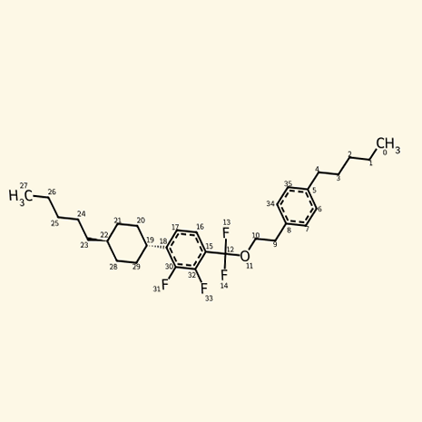 CCCCCc1ccc(CCOC(F)(F)c2ccc([C@H]3CC[C@H](CCCCC)CC3)c(F)c2F)cc1